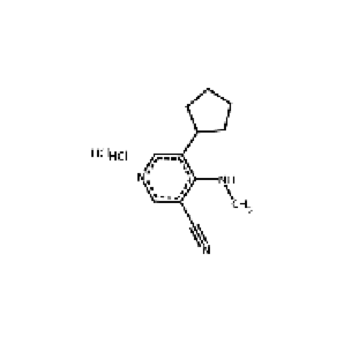 CNc1c(C#N)cncc1C1CCCC1.Cl.Cl